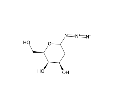 [N-]=[N+]=NC1C[C@@H](O)[C@@H](O)[C@@H](CO)O1